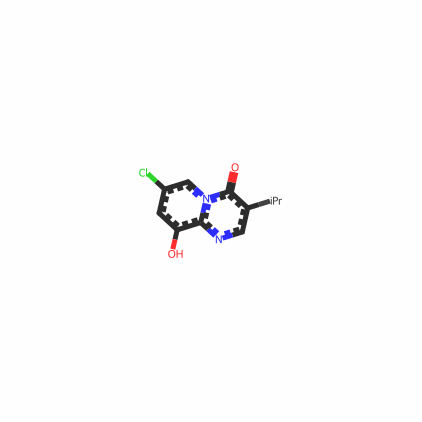 CC(C)c1cnc2c(O)cc(Cl)cn2c1=O